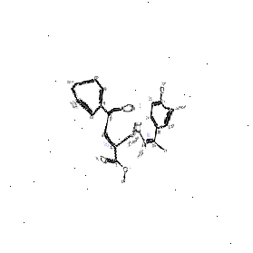 COC(=O)/C(=C/C(=O)c1ccccc1)N/N=C(/C)c1ccc(Cl)cc1